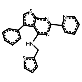 c1ccc(-c2csc3nc(-c4ccccn4)nc(NCc4cccs4)c23)cc1